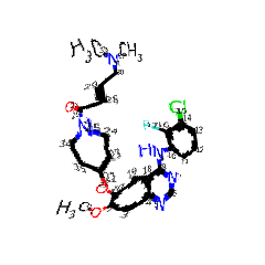 COc1cc2ncnc(Nc3cccc(Cl)c3F)c2cc1OC1CCN(C(=O)C=CCN(C)C)CC1